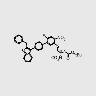 CC(C)(C)OC(=O)N[C@@H](CSc1cc(-c2ccc(-c3c(Cc4ccccc4)oc4ccccc34)cc2)c(F)cc1[N+](=O)[O-])C(=O)O